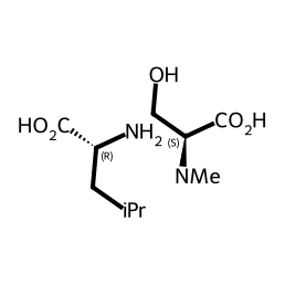 CC(C)C[C@@H](N)C(=O)O.CN[C@@H](CO)C(=O)O